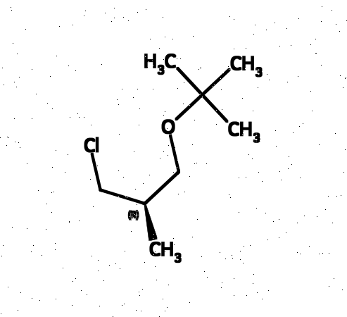 C[C@@H](CCl)COC(C)(C)C